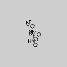 O=C(CSc1nnc(-c2cccc(C(F)(F)F)c2)n1Cc1ccccc1)Nc1ccccc1